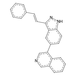 C(=Cc1n[nH]c2ccc(-c3cncc4ccccc34)cc12)c1ccccc1